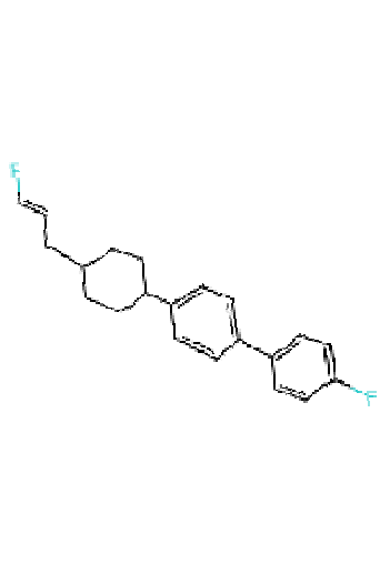 FC=CCC1CCC(c2ccc(-c3ccc(F)cc3)cc2)CC1